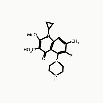 COc1c(C(=O)O)c(=O)c2c(N3CCNCC3)c(F)c(C)cc2n1C1CC1